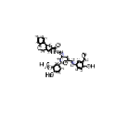 COc1cc(/C=C/C(CC(=O)/C=C/c2ccc(O)c(C=O)c2)=N\NC(=O)c2cc3c(s2)-c2ccccc2OC3)ccc1O